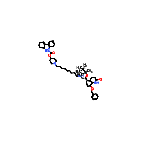 CC(C)(C)[Si](C)(C)O[C@@H](CNCCCCCCCCCN1CCC(OC(=O)Nc2ccccc2-c2ccccc2)CC1)c1ccc(OCc2ccccc2)c2[nH]c(=O)ccc12